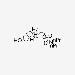 CCCN(CCC)C(=O)C(=O)O[C@@H](C)[C@H]1CC[C@H]2[C@@H]3CC=C4C[C@@H](O)CC[C@]4(C)[C@H]3CC[C@]12C